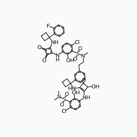 CN(C)S(=O)(=O)c1c(Cl)ccc(NC2=C(NC3(c4cccc(CCN(C)S(=O)(=O)c5c(Cl)ccc(Nc6c(NC7(c8ccccc8F)CCC7)c(=O)c6=O)c5O)c4)CCC3)C(=O)C2O)c1O